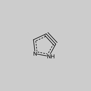 c1cn[nH]c#1